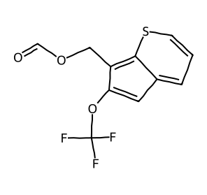 O=COCc1c(OC(F)(F)F)cc2cccsc1-2